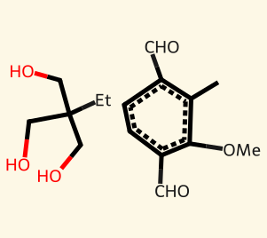 CCC(CO)(CO)CO.COc1c(C=O)ccc(C=O)c1C